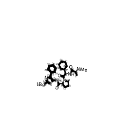 CN[C@@H](C)C(=O)N[C@H](C(=O)N1CCC[C@H]1C(=O)Nc1sc(C(C)(C)C)nc1-c1ccccc1)C1CCCCC1